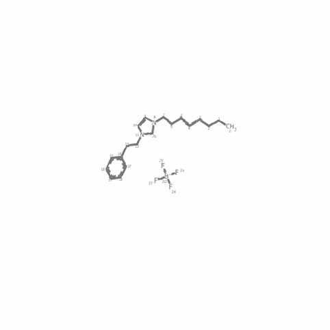 CCCCCCCCN1C=CN(CCc2ccccc2)C1.F[B-](F)(F)F